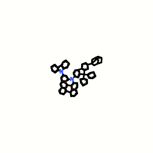 c1ccc(-c2cccc3cccc(-c4ccccc4N(c4cccc(-n5c6ccccc6c6ccccc65)c4)c4ccc5c(c4)C(c4ccccc4)(c4ccccc4)c4cc(C67CC8CC(CC(C8)C6)C7)ccc4-5)c23)cc1